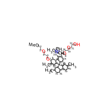 COCCOCCOc1ccc(C2(c3ccc(COCCOCCO)c(C[N+](C)(C)C)c3)c3cc(C)ccc3-c3ccc(C)cc32)cc1C